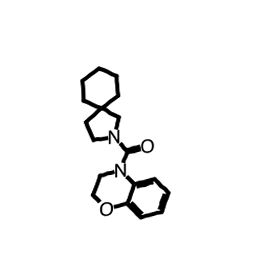 O=C(N1CCC2(CCCCC2)C1)N1CCOc2ccccc21